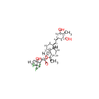 CC1[C@H](O)CC(=C/C=C2\CCC[C@]3(C)[C@@H]([C@H](C)OC(=O)CCC(C)(O)C(F)(F)F)CC[C@@H]23)C[C@H]1O